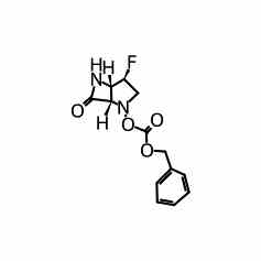 O=C(OCc1ccccc1)ON1C[C@H](F)[C@H]2NC(=O)[C@H]21